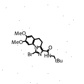 COc1cc2c(cc1OC)-n1c(Br)nc(C(=O)NCC(C)(C)C)c1CC2